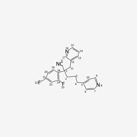 N#CC(CCCc1ccncc1)(Cc1cccnc1)c1ccc(F)cc1F